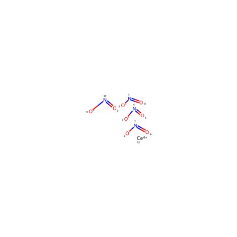 O=N[O-].O=N[O-].O=N[O-].O=N[O-].[Ce+4]